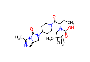 CCC(C(=O)N1CCC(N2Cc3cnc(C)n3C2=O)CC1)N(CC(C)(C)C)C(=O)O